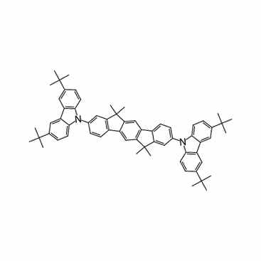 CC(C)(C)c1ccc2c(c1)c1cc(C(C)(C)C)ccc1n2-c1ccc2c(c1)C(C)(C)c1cc3c(cc1-2)C(C)(C)c1cc(-n2c4ccc(C(C)(C)C)cc4c4cc(C(C)(C)C)ccc42)ccc1-3